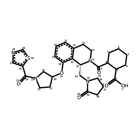 O=C(O)C1CCCCC1C(=O)N1CCc2cccc(OC3CCN(C(=O)c4cncs4)C3)c2[C@H]1CN1CCCC1=O